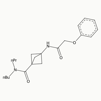 CCCCN(CCC)C(=O)C12CC(NC(=O)COc3ccccc3)(C1)C2